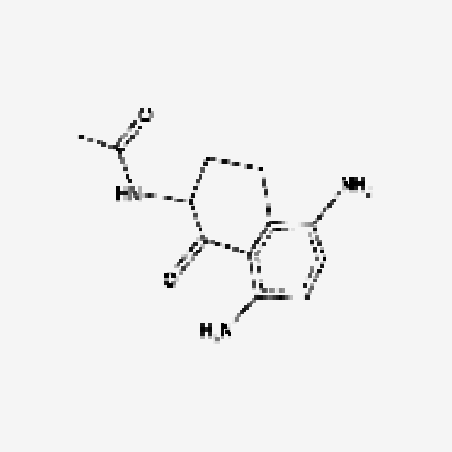 CC(=O)NC1CCc2c(N)ccc(N)c2C1=O